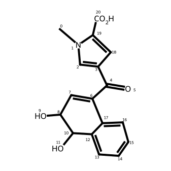 Cn1cc(C(=O)C2=CC(O)C(O)c3ccccc32)cc1C(=O)O